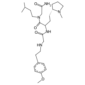 COc1ccc(CCNCC(=O)NC(CC[C@@H]2CCCN2C)C(=O)N(CCC(C)C)CC(N)=O)cc1